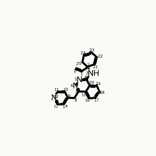 C=C[C@]1(Nc2nnc(Cc3ccncc3)c3ccccc23)C=CC=CC1